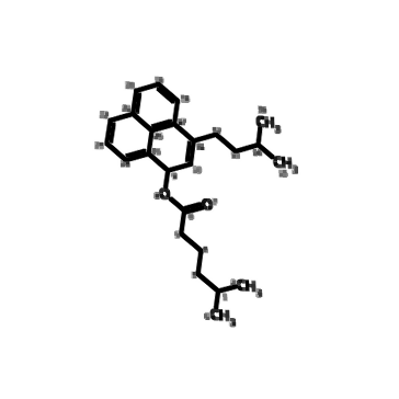 CC(C)CCCC(=O)OC1C=C(CCC(C)C)c2cccc3cccc1c23